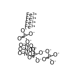 O=P([O-])([O-])[O-].O=P([O-])([O-])[O-].O=P([O-])([O-])[O-].O=[N+]([O-])[O-].O=[N+]([O-])[O-].O=[N+]([O-])[O-].[Fe+3].[Fe+3].[Fe+3].[Fe+3]